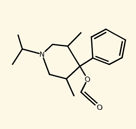 CC(C)N1CC(C)C(OC=O)(c2ccccc2)C(C)C1